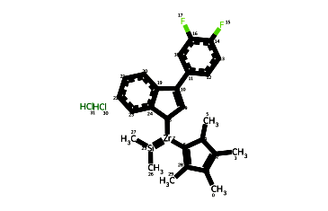 CC1=C(C)C(C)[C]([Zr]([CH]2C=C(c3ccc(F)c(F)c3)c3ccccc32)=[Si](C)C)=C1C.Cl.Cl